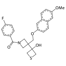 COc1ccc2cc(OCC3(C4(O)CSC4)CN(C(=O)c4ccc(F)cc4)C3)ccc2c1